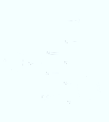 FC(F)(F)c1nc2ccccc2n1-c1nc(N2CCOCC2)nc(N2CC3CC2CO3)n1